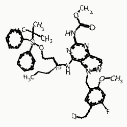 CCC[C@@H](CCO[Si](c1ccccc1)(c1ccccc1)C(C)(C)C)Nc1nc(NC(=O)OC)nc2cnn(Cc3cc(CCl)c(F)cc3OC)c12